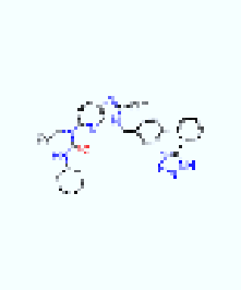 CCCc1nc2ccc(N(CC(C)C)C(=O)NC3CCCCC3)nc2n1Cc1ccc(-c2ccccc2-c2nnn[nH]2)cc1